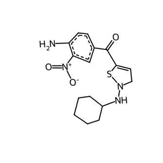 Nc1ccc(C(=O)C2=CCN(NC3CCCCC3)S2)cc1[N+](=O)[O-]